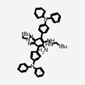 CC(C)(C)CNNc1c(N)c(-c2ccc(N(c3ccccc3)c3ccccc3)cc2)c2nn(CC(C)(C)C)nc2c1-c1ccc(N(c2ccccc2)c2ccccc2)cc1